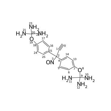 C#CC(N=O)(c1ccc(OC(N)(N)N)cc1)c1ccc(OC(N)(N)N)cc1